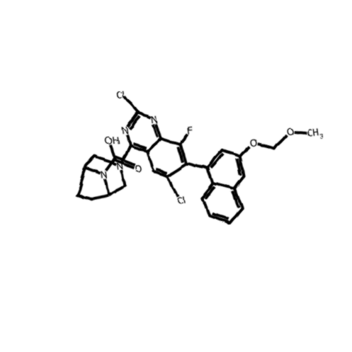 COCOc1cc(-c2c(Cl)cc3c(N4CC5CCC(C4)N5C(=O)O)nc(Cl)nc3c2F)c2ccccc2c1